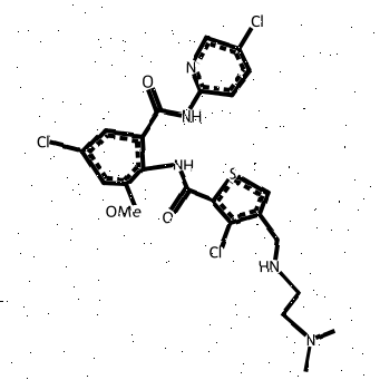 COc1cc(Cl)cc(C(=O)Nc2ccc(Cl)cn2)c1NC(=O)c1scc(CNCCN(C)C)c1Cl